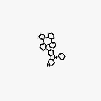 c1ccc(-n2c3ccncc3c3cc(-c4cccc5c4-c4ccccc4-c4ccccc4-c4ccccc4-5)ccc32)cc1